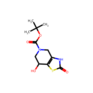 CC(C)(C)OC(=O)N1Cc2[nH]c(=O)sc2C(O)C1